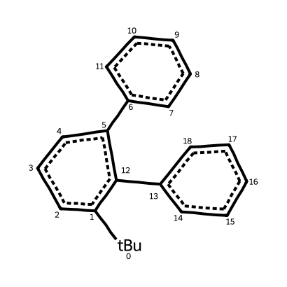 CC(C)(C)c1cccc(-c2ccccc2)c1-c1ccccc1